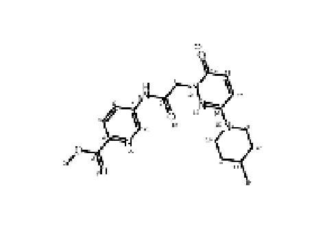 COC(=O)c1ccc(NC(=O)Cn2nc(N3CCC(C)CC3)ccc2=O)cn1